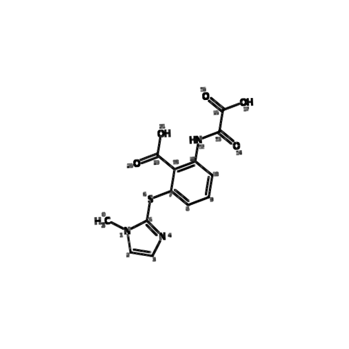 Cn1ccnc1Sc1cccc(NC(=O)C(=O)O)c1C(=O)O